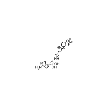 Nc1ncnc2c1ccn2[C@@H]1C[C@H](CNC2CC(CCc3nc4cc(OC(F)(F)F)ccc4[nH]3)C2)[C@@H](O)[C@H]1O